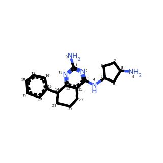 Nc1nc(NC2CCC(N)C2)c2c(n1)C(c1ccccc1)CCC2